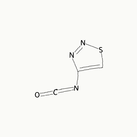 O=C=Nc1csnn1